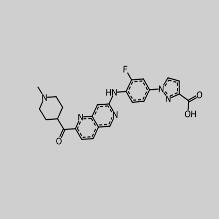 CN1CCC(C(=O)c2ccc3cnc(Nc4ccc(-n5ccc(C(=O)O)n5)cc4F)cc3n2)CC1